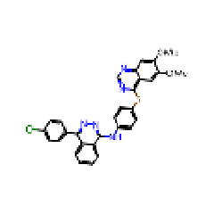 COc1cc2ncnc(Sc3ccc(Nc4nnc(-c5ccc(Cl)cc5)c5ccccc45)cc3)c2cc1OC